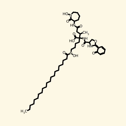 CCCCCCCCCCCCCCCCCCCCC(=O)N(O)CCCCC(NC(=O)C1CO/C(=C2\C=CC=CC2=O)N1)(C(=O)O)C(C)CC(=O)NC1CCCCN(O)C1=O